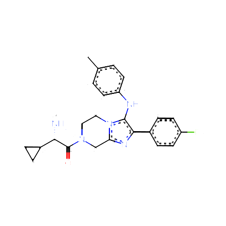 Cc1ccc(Nc2c(-c3ccc(F)cc3)nc3n2CCN(C(=O)[C@@H](N)C2CC2)C3)cc1